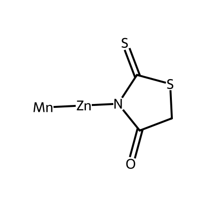 O=C1CSC(=S)[N]1[Zn][Mn]